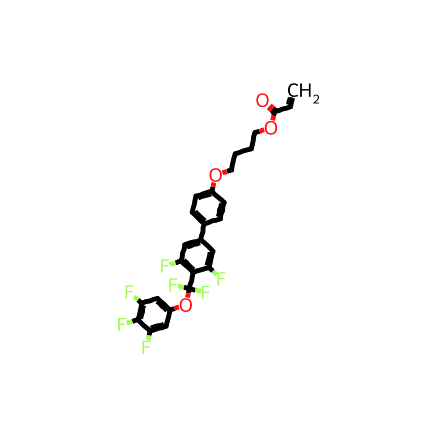 C=CC(=O)OCCCCOc1ccc(-c2cc(F)c(C(F)(F)Oc3cc(F)c(F)c(F)c3)c(F)c2)cc1